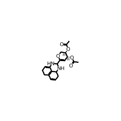 CC(=O)O[C@@H]1C=C(C2NC3=CCCC4=C3C(CC=C4)N2)OC[C@H]1OC(C)=O